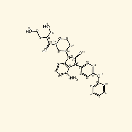 Nc1nccc2c1n(-c1ccc(Oc3ccccc3)cc1)c(=O)n2[C@@H]1CCCN(C(=O)C(CO)CCO)C1